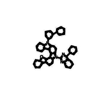 c1ccc(-c2cccc(-n3c4ccccc4c4c5c6c7oc8ccccc8c7ccc6n(-c6nc(-c7ccccc7)c7ccccc7n6)c5ccc43)c2)cc1